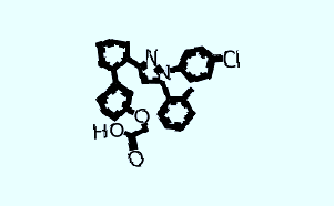 Cc1ccccc1-c1cc(-c2ccccc2-c2cccc(OCC(=O)O)c2)nn1-c1ccc(Cl)cc1